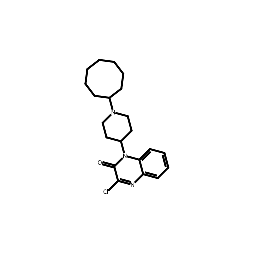 O=c1c(Cl)nc2ccccc2n1C1CCN(C2CCCCCCC2)CC1